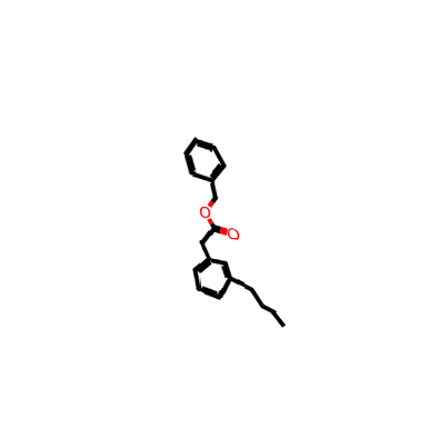 CCCCc1cccc(CC(=O)OCc2ccccc2)c1